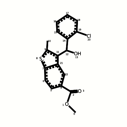 COC(=O)c1ccc2sc(C)c(C(O)c3ccccc3Cl)c2c1